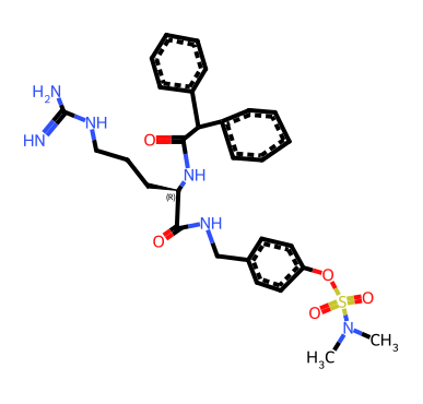 CN(C)S(=O)(=O)Oc1ccc(CNC(=O)[C@@H](CCCNC(=N)N)NC(=O)C(c2ccccc2)c2ccccc2)cc1